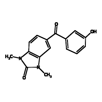 Cn1c(=O)n(C)c2cc(C(=O)c3cccc(O)c3)ccc21